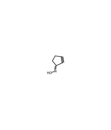 ON=C1C#CCC1